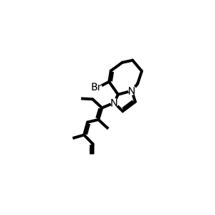 C=C/C(C)=C\C(C)=C(/CC)N1C=CN2CCCC/C=C(/Br)C21